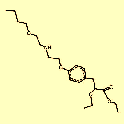 CCCCOCCNCCOc1ccc(CC(OCC)C(=O)OCC)cc1